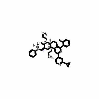 C=CC[C@H]1C(O)/C(=C\N(C)c2ccccc2)C[C@@]2(CCC)c3nc(-c4ccnc(C5CC5)c4)nc(-c4ccccc4F)c3CC[C@H]12